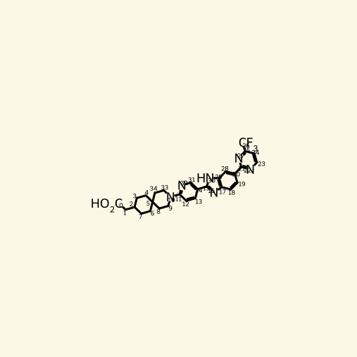 O=C(O)CC1CCC2(CC1)CCN(c1ccc(-c3nc4ccc(-c5nccc(C(F)(F)F)n5)cc4[nH]3)cn1)CC2